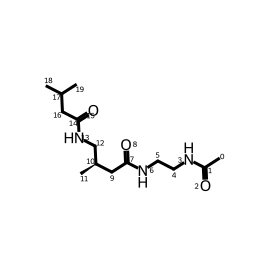 CC(=O)NCCNC(=O)C[C@@H](C)CNC(=O)CC(C)C